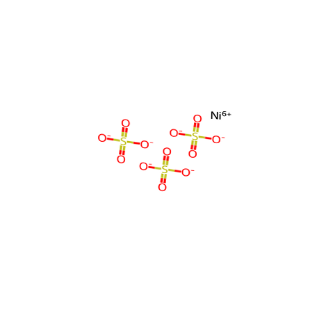 O=S(=O)([O-])[O-].O=S(=O)([O-])[O-].O=S(=O)([O-])[O-].[Ni+6]